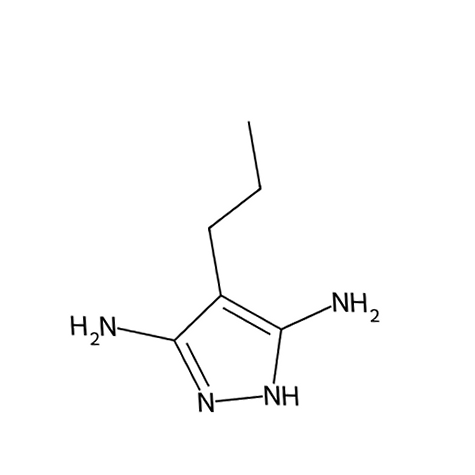 CCCc1c(N)n[nH]c1N